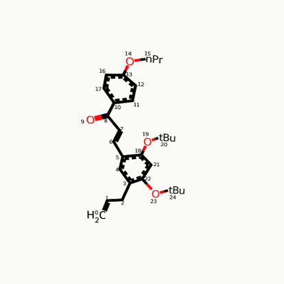 C=CCc1cc(/C=C/C(=O)c2ccc(OCCC)cc2)c(OC(C)(C)C)cc1OC(C)(C)C